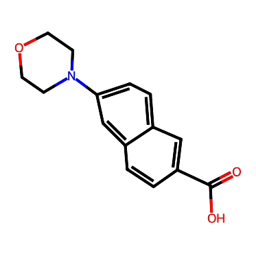 O=C(O)c1ccc2cc(N3CCOCC3)ccc2c1